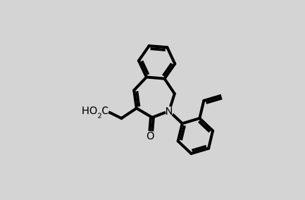 C=Cc1ccccc1N1Cc2ccccc2C=C(CC(=O)O)C1=O